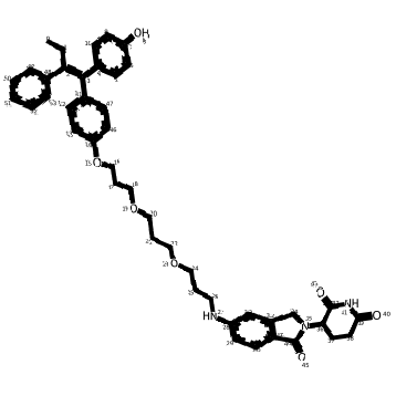 CCC(=C(c1ccc(O)cc1)c1ccc(OCCCOCCCOCCCNc2ccc3c(c2)CN(C2CCC(=O)NC2=O)C3=O)cc1)c1ccccc1